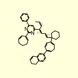 C\C=C/C(=C\C=C\C1(C2=CCC=C(c3ccc4c(c3)C=CCC4)C=C2)CCCCC1)c1cc(-c2ccccc2)nc(C2=CCCCC=C2)n1